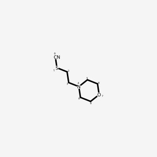 N#CSCCN1CCOCC1